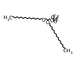 CCCCCCCCCCCCCCCCOCC(COS(=O)(=O)C(F)(F)F)OCCCCCCCCCCCCCCCC